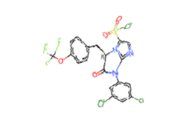 O=C1[C@@H](Cc2ccc(OC(F)(F)F)cc2)n2c(S(=O)(=O)Cl)cnc2N1c1cc(Cl)cc(Cl)c1